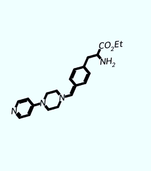 CCOC(=O)C(N)CC1C=CC(=CN2CCN(c3ccncc3)CC2)C=C1